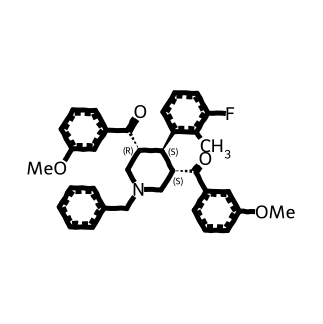 COc1cccc(C(=O)[C@H]2CN(Cc3ccccc3)C[C@@H](C(=O)c3cccc(OC)c3)[C@@H]2c2cccc(F)c2C)c1